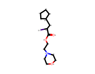 O=C(OCCN1CCOCC1)C(I)CC1CCCC1